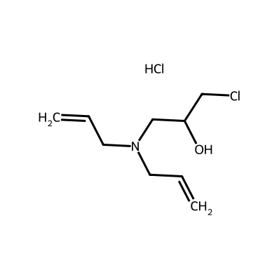 C=CCN(CC=C)CC(O)CCl.Cl